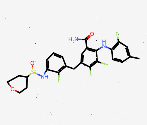 Cc1ccc(Nc2c(C(N)=O)cc(Cc3cccc(N[S+]([O-])C4CCOCC4)c3F)c(F)c2F)c(F)c1